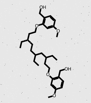 CCC(CCOc1cc(OC)ccc1CO)CCC(CC)CC(CC)CCOc1cc(OC)ccc1CO